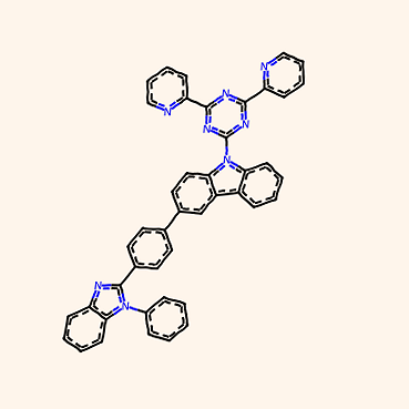 c1ccc(-n2c(-c3ccc(-c4ccc5c(c4)c4ccccc4n5-c4nc(-c5ccccn5)nc(-c5ccccn5)n4)cc3)nc3ccccc32)cc1